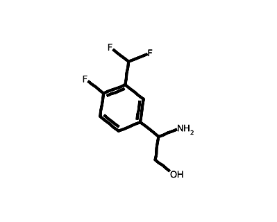 NC(CO)c1ccc(F)c(C(F)F)c1